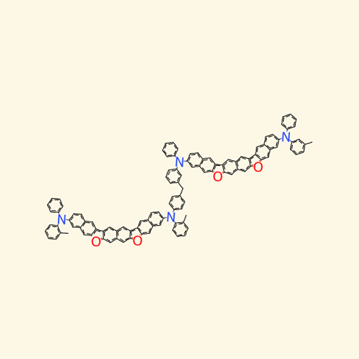 Cc1cccc(N(c2ccccc2)c2ccc3cc4c(cc3c2)oc2cc3cc5oc6cc7cc(N(c8ccccc8)c8cccc(Cc9ccc(N(c%10ccc%11cc%12c(cc%11c%10)oc%10cc%11cc%13oc%14cc%15cc(N(c%16ccccc%16)c%16ccccc%16C)ccc%15cc%14c%13cc%11cc%10%12)c%10ccccc%10C)cc9)c8)ccc7cc6c5cc3cc24)c1